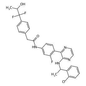 CC(Nc1nccnc1-c1ccc(NC(=O)Cc2ccc(C(F)(F)C(C)O)cc2)cc1F)c1ccccc1Cl